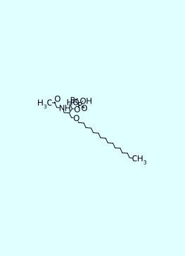 CCCCCCCCCCCCCCCCOCC(CNCC(C)=O)C(CBr)OP(=O)(O)O